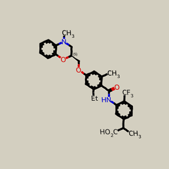 CCc1cc(OC[C@@H]2CN(C)c3ccccc3O2)cc(C)c1C(=O)Nc1cc(C(C)C(=O)O)ccc1C(F)(F)F